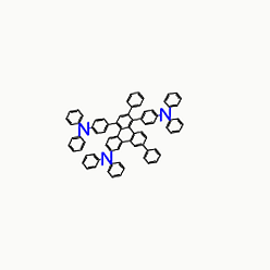 c1ccc(-c2ccc3c(c2)c2cc(N(c4ccccc4)c4ccccc4)ccc2c2c(-c4ccc(N(c5ccccc5)c5ccccc5)cc4)cc(-c4ccccc4)c(-c4ccc(N(c5ccccc5)c5ccccc5)cc4)c32)cc1